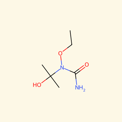 CCON(C(N)=O)C(C)(C)O